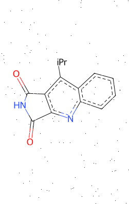 CC(C)c1c2c(nc3ccccc13)C(=O)NC2=O